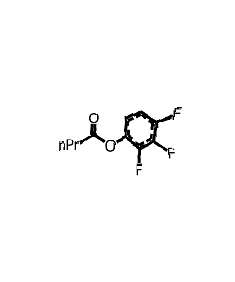 CCCC(=O)Oc1ccc(F)c(F)c1F